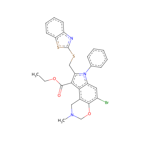 CCOC(=O)c1c(CSc2nc3ccccc3s2)n(-c2ccccc2)c2cc(Br)c3c(c12)CN(C)CO3